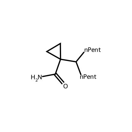 CCCCCC(CCCCC)C1(C(N)=O)CC1